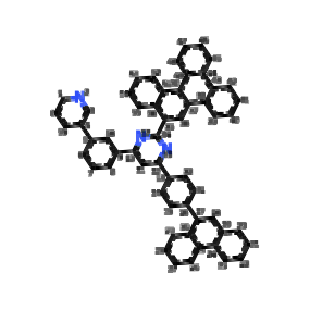 c1cncc(-c2cccc(-c3cc(-c4ccc(-c5cc6ccccc6c6ccccc56)cc4)nc(-c4cc5c6ccccc6c6ccccc6c5c5ccccc45)n3)c2)c1